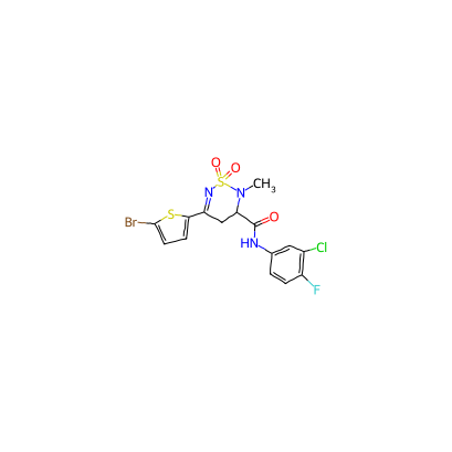 CN1C(C(=O)Nc2ccc(F)c(Cl)c2)CC(c2ccc(Br)s2)=NS1(=O)=O